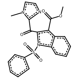 COC(=O)c1c(C(=O)c2nccn2C)n(S(=O)(=O)c2ccccc2)c2ccccc12